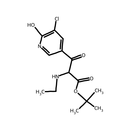 CCNC(C(=O)OC(C)(C)C)C(=O)c1cnc(O)c(Cl)c1